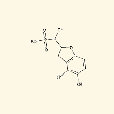 N#Cc1ccc2c(c1Cl)CC(C(O)S(=O)(=O)C(F)(F)F)O2